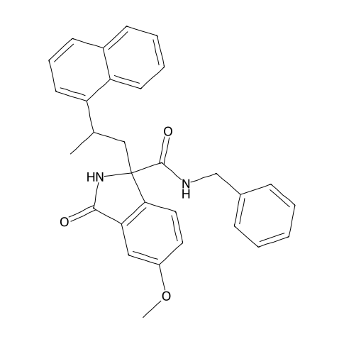 COc1ccc2c(c1)C(=O)NC2(CC(C)c1cccc2ccccc12)C(=O)NCc1ccccc1